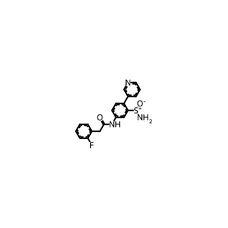 N[S+]([O-])c1cc(NC(=O)Cc2ccccc2F)ccc1-c1cccnc1